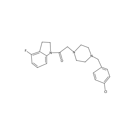 O=C(CN1CCN(Cc2ccc(Cl)cc2)CC1)N1CCc2c(F)cccc21